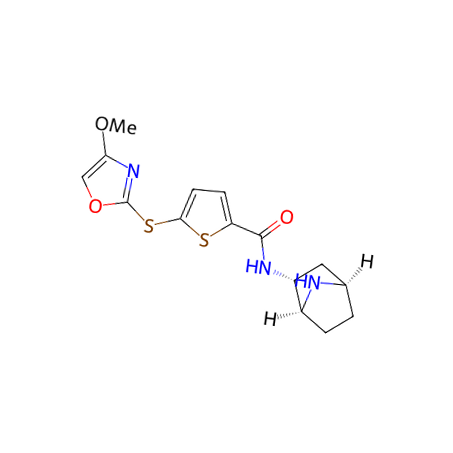 COc1coc(Sc2ccc(C(=O)N[C@@H]3C[C@H]4CC[C@@H]3N4)s2)n1